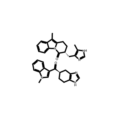 Cc1[nH]cnc1C[C@H]1CCc2c(C)c3ccccc3n2C1=O.Cn1cc(C(=O)[C@@H]2CCc3[nH]cnc3C2)c2ccccc21